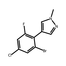 Cn1cc(-c2c(F)cc(Cl)cc2Br)cn1